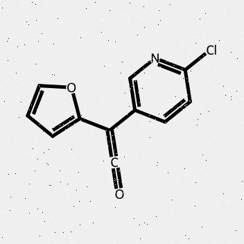 O=C=C(c1ccc(Cl)nc1)c1ccco1